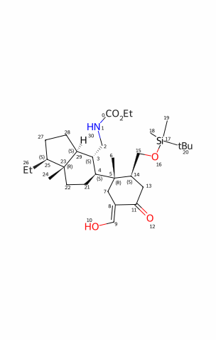 CCOC(=O)NC[C@@H]1[C@@H]([C@@]2(C)CC(=CO)C(=O)C[C@@H]2CO[Si](C)(C)C(C)(C)C)CC[C@]2(C)[C@@H](CC)CC[C@@H]12